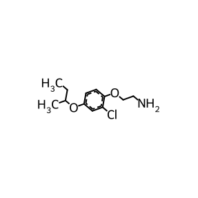 CCC(C)Oc1ccc(OCCN)c(Cl)c1